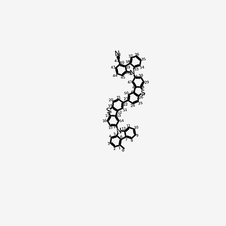 Cc1cccc2c1c1ccccc1n2-c1ccc2sc3ccc(-c4ccc5sc6ccc(-n7c8ccccc8c8c(C#N)cccc87)cc6c5c4)cc3c2c1